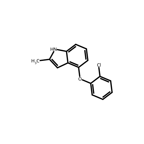 Cc1cc2c(Oc3ccccc3Cl)cccc2[nH]1